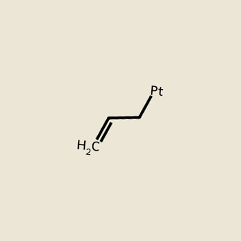 C=C[CH2][Pt]